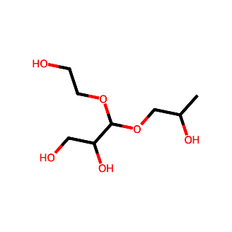 CC(O)COC(OCCO)C(O)CO